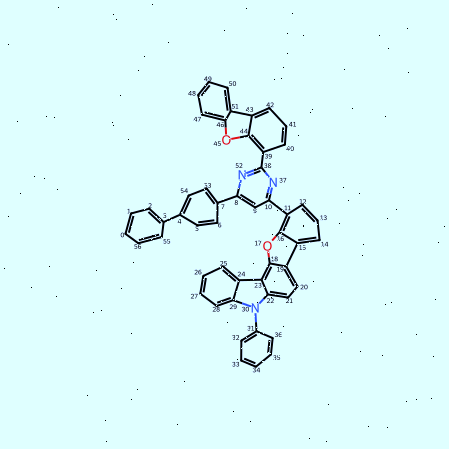 c1ccc(-c2ccc(-c3cc(-c4cccc5c4oc4c5ccc5c4c4ccccc4n5-c4ccccc4)nc(-c4cccc5c4oc4ccccc45)n3)cc2)cc1